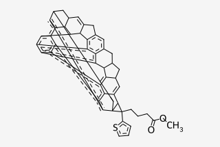 COC(=O)CCCC1(c2cccs2)C2C3=CC4CC5Cc6cc7c8c9c6c6c%10c9c9c%11c%12c%13c(c%14c3c(c%10c%14%11)=C4C65)C21CC%13CC1C=C(C7)C8C9C%121